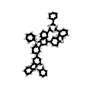 c1ccc(-c2nc(-c3ccccc3)nc(-c3cccc4oc5ccc(-c6ccc7c(c6)c6cc(-c8cc9c%10c(c8)c8ccccc8n%10-c8ccccc8S9)ccc6n7-c6ccccc6)cc5c34)n2)cc1